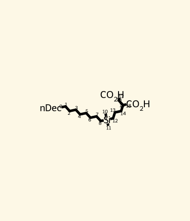 CCCCCCCCCCCCCCCCCC[Si](C)(C)CCCC(CC(=O)O)C(=O)O